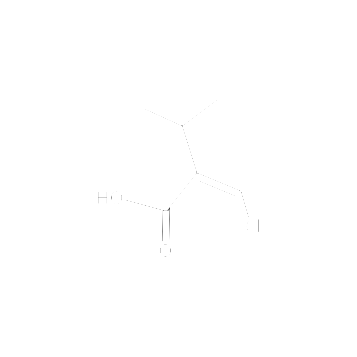 CC(C)/C(=C/Cl)C(=O)O